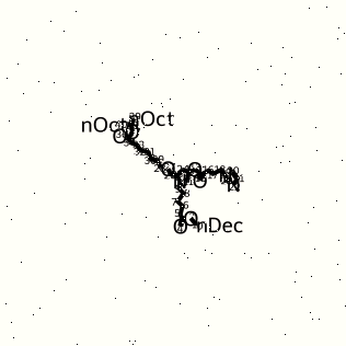 CCCCCCCCCCCOC(=O)CCCCCN1CC(OC(=O)CCCn2ccnc2)CC1COCCCCCCCC(=O)OC(CCCCCCCC)CCCCCCCC